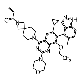 C=CC(=O)N1CC2(CCN(c3nc(N4CCOCC4)nc4c(OCC(F)(F)F)c(-c5c(C)ccc6[nH]ncc56)c(C5CC5)cc34)CC2)C1